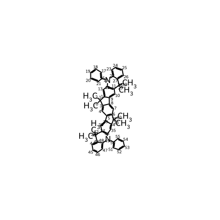 CC1(C)c2cc3c(cc2-c2cc4c(cc21)N(c1ccccc1)c1ccccc1C4(C)C)C(C)(C)c1cc2c(cc1-3)C(C)(C)c1ccccc1N2c1ccccc1